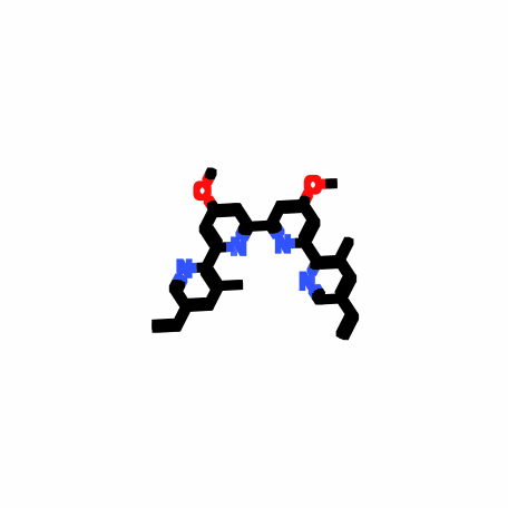 C=Cc1cnc(-c2cc(OC)cc(-c3cc(OC)cc(-c4ncc(C=C)cc4C)n3)n2)c(C)c1